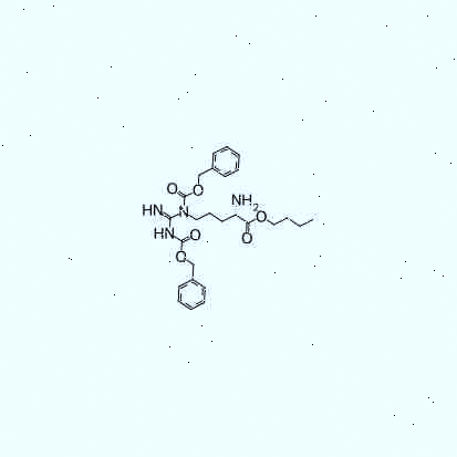 CCCCOC(=O)[C@@H](N)CCCN(C(=N)NC(=O)OCc1ccccc1)C(=O)OCc1ccccc1